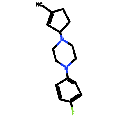 N#CC1=CC(N2CCN(c3ccc(F)cc3)CC2)CC1